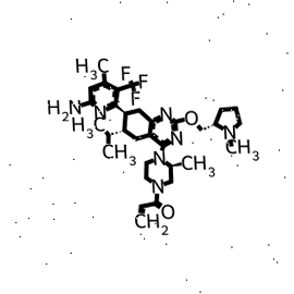 C=CC(=O)N1CCN(c2nc(OC[C@@H]3CCCN3C)nc3c2C[C@H](C(C)C)[C@@H](c2nc(N)cc(C)c2C(F)(F)F)C3)[C@@H](C)C1